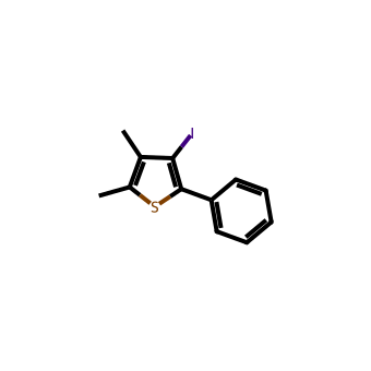 Cc1sc(-c2ccccc2)c(I)c1C